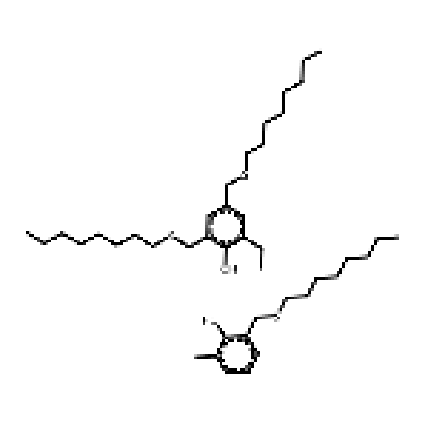 CCCCCCCCSCc1cc(CC)c(O)c(CSCCCCCCCC)c1.CCCCCCCCSCc1cccc(C)c1O